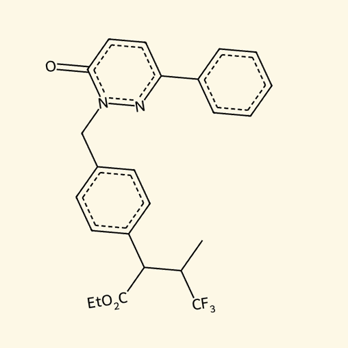 CCOC(=O)C(c1ccc(Cn2nc(-c3ccccc3)ccc2=O)cc1)C(C)C(F)(F)F